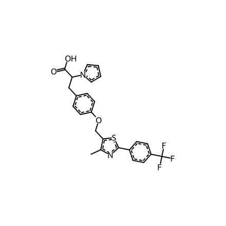 Cc1nc(-c2ccc(C(F)(F)F)cc2)sc1COc1ccc(CC(C(=O)O)n2cccc2)cc1